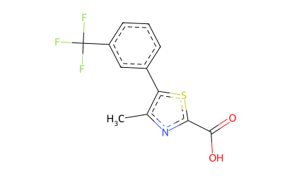 Cc1nc(C(=O)O)sc1-c1cccc(C(F)(F)F)c1